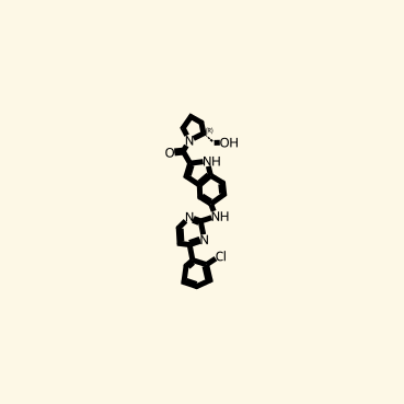 O=C(c1cc2cc(Nc3nccc(-c4ccccc4Cl)n3)ccc2[nH]1)N1CCC[C@@H]1CO